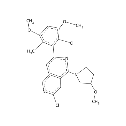 COc1cc(OC)c(Cl)c(-c2cc3cnc(Cl)cc3c(N3CCC(OC)C3)n2)c1C